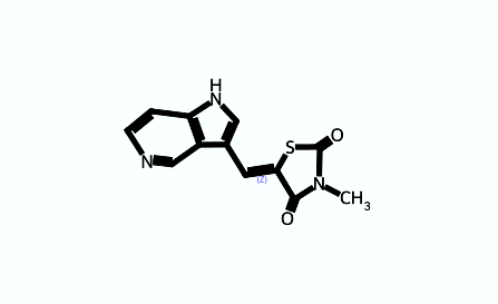 CN1C(=O)S/C(=C\c2c[nH]c3ccncc23)C1=O